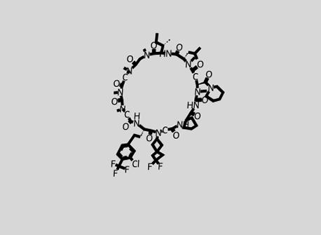 CC[C@H](C)C1NC(=O)[C@H](CC(C)C)N(C)C(=O)C[C@@H](C(=O)N2CCCCC2)N(C)C(=O)NC(=O)C2(CCCC2)NC(=O)CN(C2CC3(C2)CC(F)(F)C3)C(=O)[C@H](CCc2ccc(C(F)(F)F)c(Cl)c2)NC(=O)CN(C)C(=O)N(C)C(=O)CN(C)C(=O)CN(C)C1=O